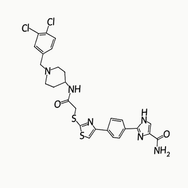 NC(=O)c1c[nH]c(-c2ccc(-c3csc(SCC(=O)NC4CCN(Cc5ccc(Cl)c(Cl)c5)CC4)n3)cc2)n1